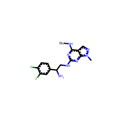 Cn1ncc2c(NC(C)(C)C)nc(NCC(N)c3ccc(F)c(F)c3)nc21